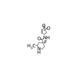 CC1CC(F)(C(=O)N[C@@H]2C=CS(=O)(=O)C2)CCN1